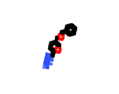 [N-]=[N+]=NCC1CC[C@@H](COCc2ccccc2)CO1